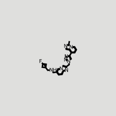 Cc1ncc2c(-c3cn(Cc4cn5cc(CNCC67CC(F)(C6)C7)ccc5n4)nn3)cccn12